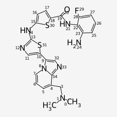 CN(C)Cc1cccn2c(-c3cnc(Nc4ccc(C(=O)Nc5c(N)cccc5F)s4)s3)cnc12